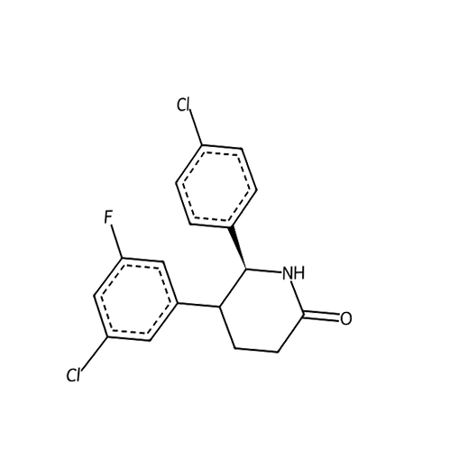 O=C1CCC(c2cc(F)cc(Cl)c2)[C@@H](c2ccc(Cl)cc2)N1